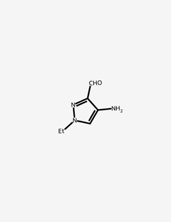 CCn1cc(N)c(C=O)n1